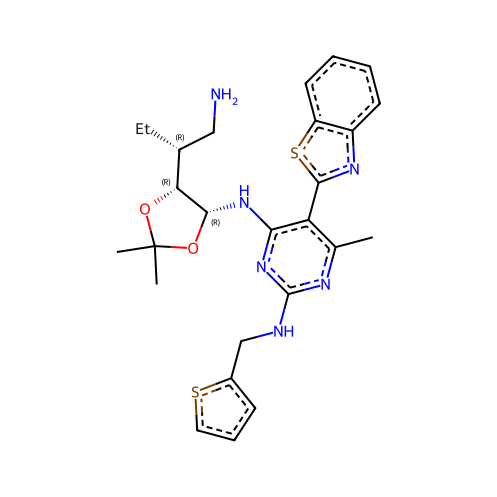 CC[C@H](CN)[C@H]1OC(C)(C)O[C@H]1Nc1nc(NCc2cccs2)nc(C)c1-c1nc2ccccc2s1